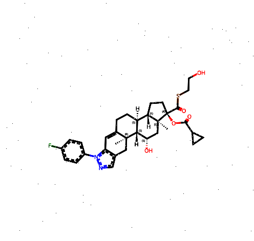 C[C@]12Cc3cnn(-c4ccc(F)cc4)c3C=C1CC[C@@H]1[C@@H]2[C@@H](O)C[C@@]2(C)[C@H]1CC[C@]2(OC(=O)C1CC1)C(=O)SCCO